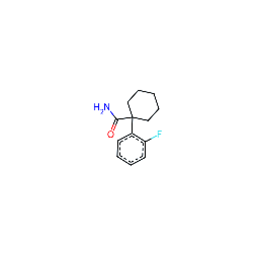 NC(=O)C1(c2ccccc2F)CCCCC1